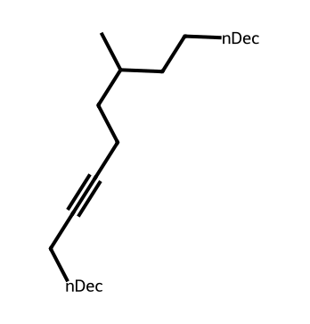 [CH2]CCCCCCCCCCC#CCCC(C)CCCCCCCCCCC[CH2]